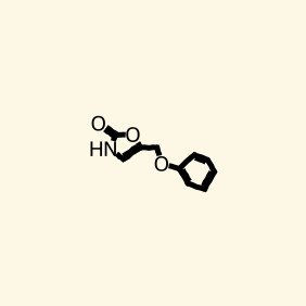 O=c1[nH]cc(COc2ccccc2)o1